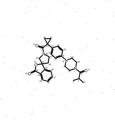 CC(C)C(=O)N1CCN(c2ccc(C3(C(=O)N4CCC5(C4)OC(=O)c4ccccc45)CC3)cc2)CC1